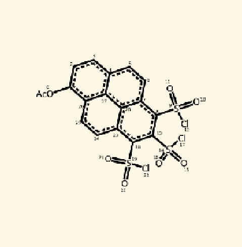 CC(=O)Oc1ccc2ccc3c(S(=O)(=O)Cl)c(S(=O)(=O)Cl)c(S(=O)(=O)Cl)c4ccc1c2c34